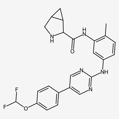 Cc1ccc(Nc2ncc(-c3ccc(OC(F)F)cc3)cn2)cc1NC(=O)C1NCC2CC21